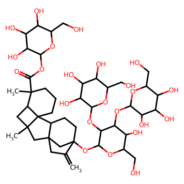 C=C1CC23CC1(OC1OC(CO)C(O)C(OC4OC(CO)C(O)C(O)C4O)C1OC1OC(CO)C(O)C(O)C1O)CCC2C12CCCC(C)(C(=O)OC4OC(CO)C(O)C(O)C4O)C1CC2(C)C3